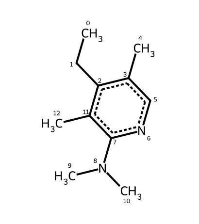 CCc1c(C)cnc(N(C)C)c1C